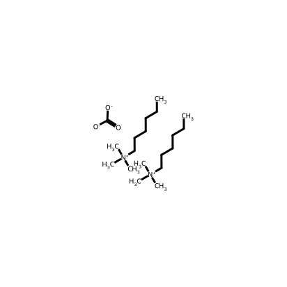 CCCCCC[N+](C)(C)C.CCCCCC[N+](C)(C)C.O=C([O-])[O-]